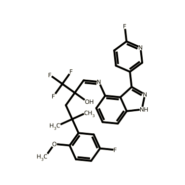 COc1ccc(F)cc1C(C)(C)CC(O)(C=Nc1cccc2[nH]nc(-c3ccc(F)nc3)c12)C(F)(F)F